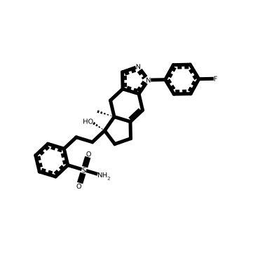 C[C@]12Cc3cnn(-c4ccc(F)cc4)c3C=C1CC[C@@]2(O)CCc1ccccc1S(N)(=O)=O